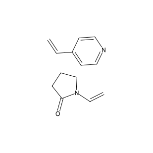 C=CN1CCCC1=O.C=Cc1ccncc1